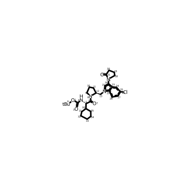 CC(C)(C)OC(=O)N[C@H](C(=O)N1CCC[C@H]1Cn1cc(N2CCCC2=O)c2cc(Cl)ccc21)C1CCCCC1